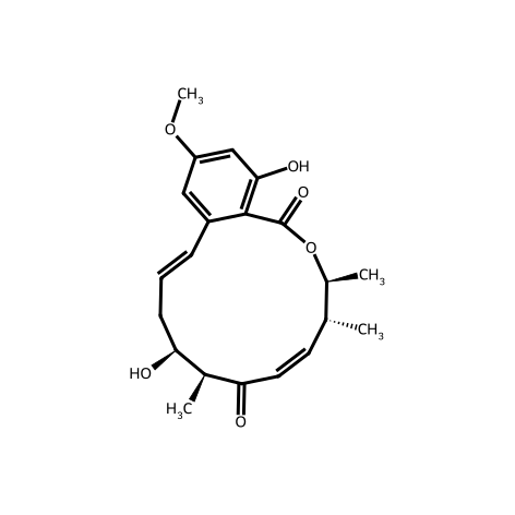 COc1cc(O)c2c(c1)/C=C/C[C@H](O)[C@H](C)C(=O)/C=C\[C@@H](C)[C@H](C)OC2=O